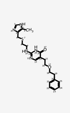 Cc1[nH]cnc1CSCCNc1ncc(CCOCCc2ccccc2)c(=O)[nH]1